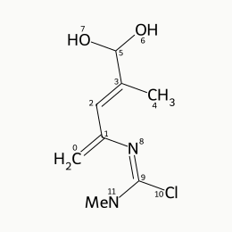 C=C(/C=C(\C)C(O)O)/N=C(/Cl)NC